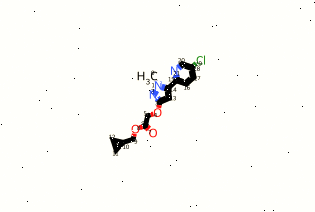 Cn1nc(OCC(=O)OCC2CC2)cc1-c1ccc(Cl)cn1